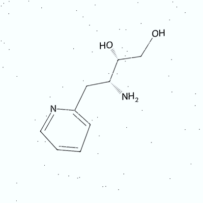 N[C@H](Cc1ccccn1)[C@H](O)CO